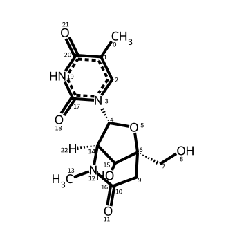 Cc1cn([C@@H]2O[C@@]3(CO)CC(=O)N(C)[C@@H]2C3O)c(=O)[nH]c1=O